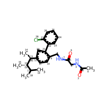 CC(=O)NCC(=O)NCc1ccc([C@H](C)[C@@H](C)C(C)C)cc1-c1ccccc1Cl